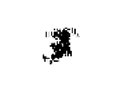 [2H]C([2H])([2H])Oc1cc(Nc2ncc(F)c(Nc3ccc4c(n3)N(COP(=O)(O)O)C(=O)C(C)(C)O4)n2)cc(OC)c1OC